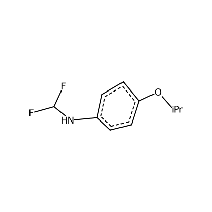 CC(C)Oc1ccc(NC(F)F)cc1